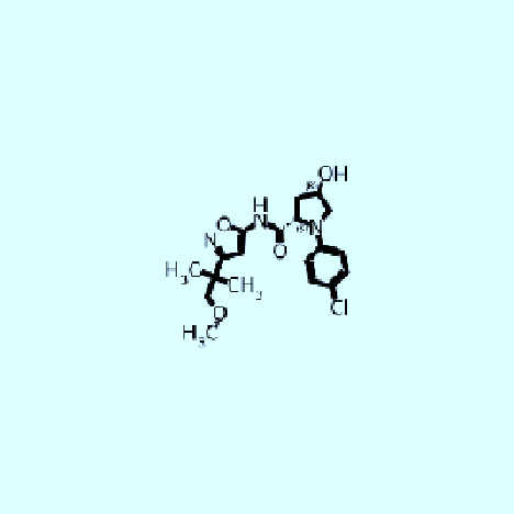 COCC(C)(C)c1cc(NC(=O)[C@@H]2C[C@@H](O)CN2c2ccc(Cl)cc2)on1